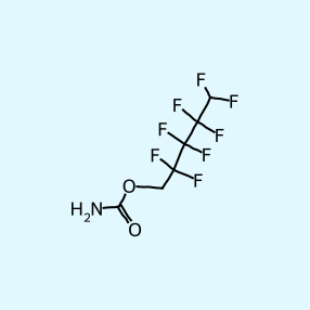 NC(=O)OCC(F)(F)C(F)(F)C(F)(F)C(F)F